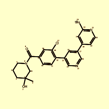 CC1(O)CCCN(C(=O)c2ccc(-c3cncc(-c4ccnc(C(C)(C)C)c4)c3)c(Cl)c2)C1